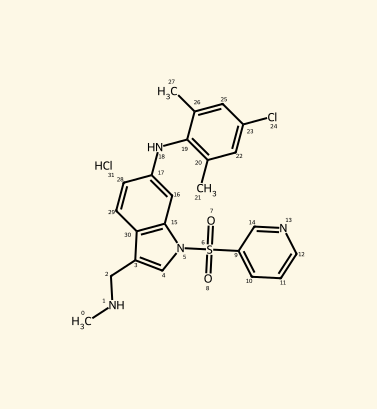 CNCc1cn(S(=O)(=O)c2cccnc2)c2cc(Nc3c(C)cc(Cl)cc3C)ccc12.Cl